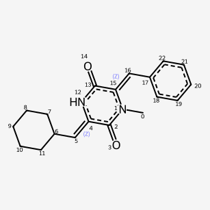 Cn1c(=O)/c(=C/C2CCCCC2)[nH]c(=O)/c1=C/c1ccccc1